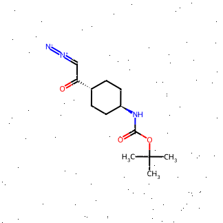 CC(C)(C)OC(=O)N[C@H]1CC[C@H](C(=O)C=[N+]=[N-])CC1